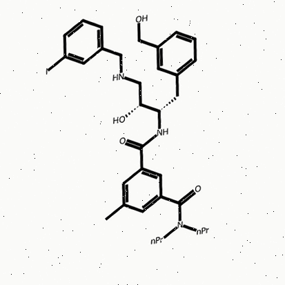 CCCN(CCC)C(=O)c1cc(C)cc(C(=O)N[C@@H](Cc2cccc(CO)c2)[C@H](O)CNCc2cccc(I)c2)c1